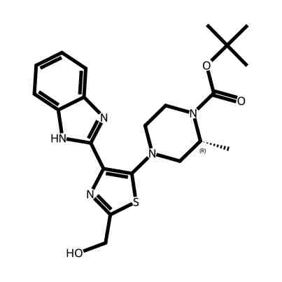 C[C@@H]1CN(c2sc(CO)nc2-c2nc3ccccc3[nH]2)CCN1C(=O)OC(C)(C)C